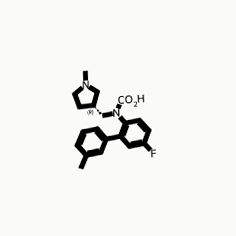 Cc1cccc(-c2cc(F)ccc2N(C[C@@H]2CCN(C)C2)C(=O)O)c1